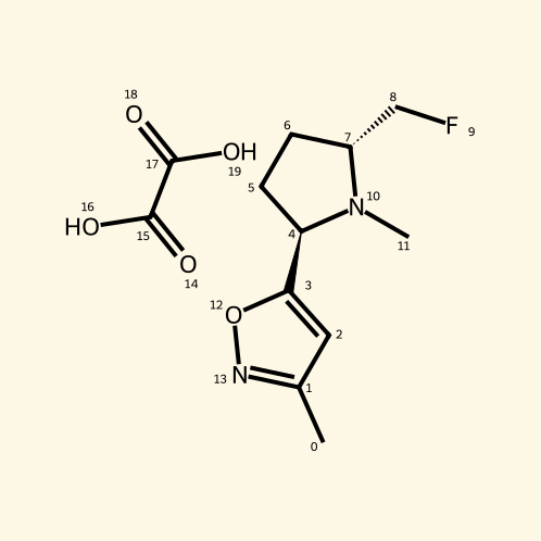 Cc1cc([C@H]2CC[C@H](CF)N2C)on1.O=C(O)C(=O)O